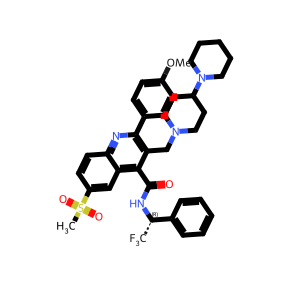 COc1ccc(-c2nc3ccc(S(C)(=O)=O)cc3c(C(=O)N[C@H](c3ccccc3)C(F)(F)F)c2CN2CCC(N3CCCCC3)CC2)cc1